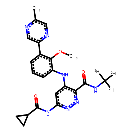 [2H]C([2H])([2H])NC(=O)c1nnc(NC(=O)C2CC2)cc1Nc1cccc(-c2cnc(C)cn2)c1OC